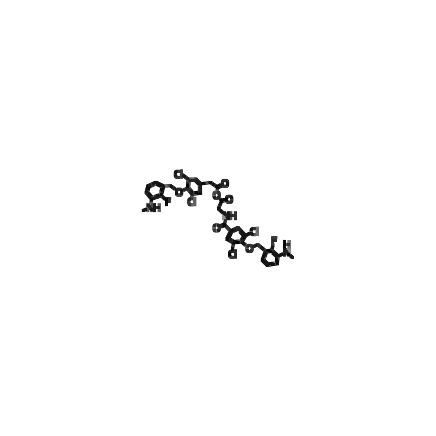 CNc1cccc(COc2c(Cl)cc(CC(=O)OC(=O)CNC(=O)c3cc(Cl)c(OCc4cccc(NC)c4F)c(Cl)c3)cc2Cl)c1F